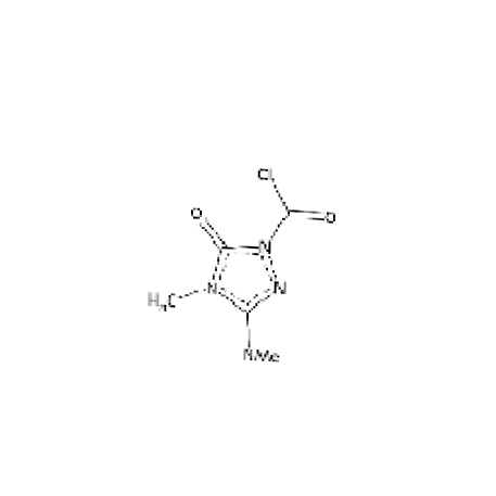 CNc1nn(C(=O)Cl)c(=O)n1C